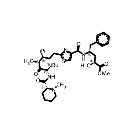 CC[C@H](C)[C@H](NC(=O)[C@H]1CCCCN1C)C(=O)N(C)[C@H](CCc1nc(C(=O)N[C@@H](Cc2ccccc2)C[C@H](C)C(=O)OC)cs1)C(C)C